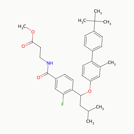 COC(=O)CCNC(=O)c1ccc(C(CC(C)C)Oc2ccc(-c3ccc(C(C)(C)C)cc3)c(C)c2)c(F)c1